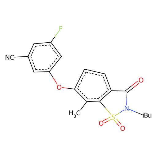 CCC(C)N1C(=O)c2ccc(Oc3cc(F)cc(C#N)c3)c(C)c2S1(=O)=O